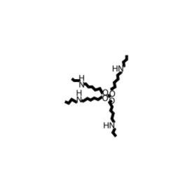 CCCCNCCCCCCOC(OCCCCCCNCCC)(OCCCCCCNCCC)OCCCCCCNCCCC